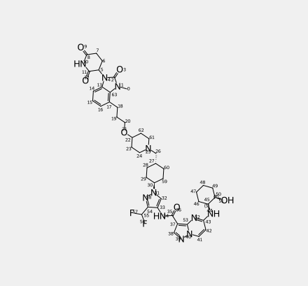 Cn1c(=O)n(C2CCC(=O)NC2=O)c2cccc(CCCOC3CCN(C[C@H]4CC[C@H](n5cc(NC(=O)c6cnn7ccc(N[C@H]8CCCC[C@H]8O)nc67)c(C(F)F)n5)CC4)CC3)c21